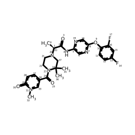 C[C@@H](C(=O)Nc1cnc(Oc2ccc(F)cc2F)cn1)N1CCN(C(=O)c2ccc(=O)n(C)c2)C(C)(C)C1